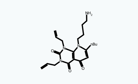 C=CCn1c(=O)c2c(=O)cc(CCCC)n(CCCCN)c2n(CC=C)c1=O